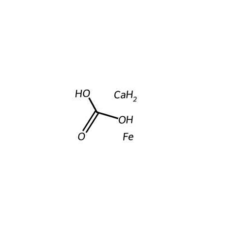 O=C(O)O.[CaH2].[Fe]